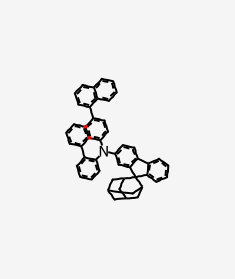 c1ccc(-c2ccccc2N(c2ccc(-c3cccc4ccccc34)cc2)c2ccc3c(c2)C2(c4ccccc4-3)C3CC4CC(C3)CC2C4)cc1